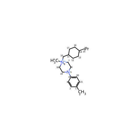 Cc1ccc(N2CC[N+](C)(CC3CCC(C(C)C)CC3)CC2)cc1